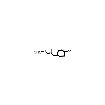 CC(=O)C1CCC(CNCOC=O)CC1